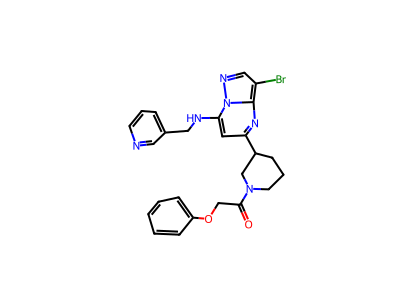 O=C(COc1ccccc1)N1CCCC(c2cc(NCc3cccnc3)n3ncc(Br)c3n2)C1